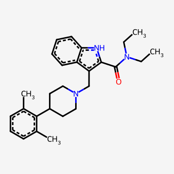 CCN(CC)C(=O)c1[nH]c2ccccc2c1CN1CCC(c2c(C)cccc2C)CC1